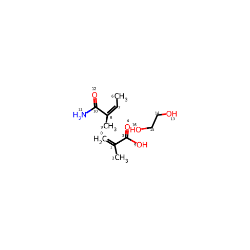 C=C(C)C(=O)O.CC=C(C)C(N)=O.OCCO